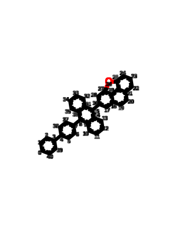 c1ccc(-c2ccc(-c3c4ccccc4c(-c4cc5ccc6cccc7oc(c4)c5c67)c4ccccc34)cc2)cc1